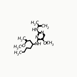 C=C(C)Nc1ncc(OC)c(NC(CCCC)CC(=C)OC)n1